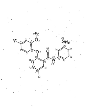 CCOc1cc(F)ccc1Oc1nnc(C)cc1C(=O)Nc1cccc(SC)c1